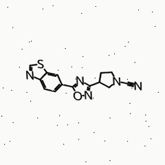 N#CN1CCC(c2noc(-c3ccc4ncsc4c3)n2)C1